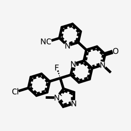 Cn1cncc1[C@@](F)(c1ccc(Cl)cc1)c1ccc2c(n1)c(-c1cccc(C#N)n1)cc(=O)n2C